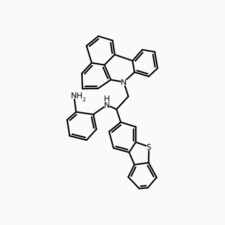 Nc1ccccc1NC(CN1c2ccccc2-c2cccc3cccc1c23)c1ccc2c(c1)sc1ccccc12